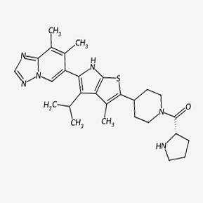 Cc1c(-c2[nH]c3sc(C4CCN(C(=O)[C@@H]5CCCN5)CC4)c(C)c3c2C(C)C)cn2ncnc2c1C